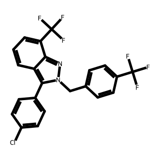 FC(F)(F)c1ccc(Cn2nc3c(C(F)(F)F)cccc3c2-c2ccc(Cl)cc2)cc1